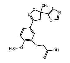 COc1ccc(C2=NOC(C)(c3nnco3)C2)cc1OCC(=O)O